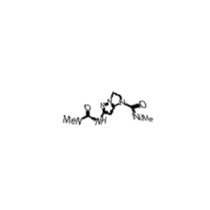 CNC(=O)Nc1cc2n(n1)CCN2C(=O)NC